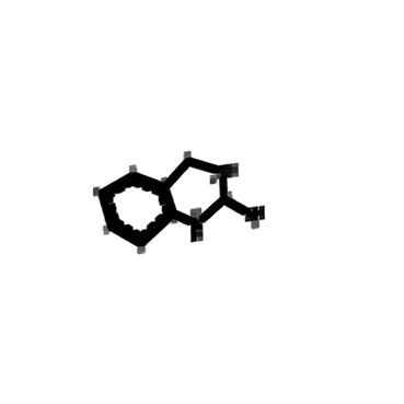 SC1NCc2ccccc2N1